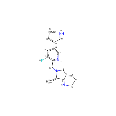 C=C1C2=NCCC=C2CN1Cc1ncc(/C(C=N)=C/NC)cc1F